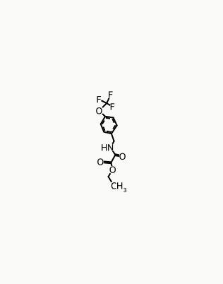 CCOC(=O)C(=O)NCc1ccc(OC(F)(F)F)cc1